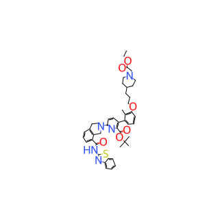 CCOC(=O)CN1CCC(CCCOc2cccc(-c3ccc(N4CCc5cccc(C(=O)Nc6nc7ccccc7s6)c5C4)nc3C(=O)OC(C)(C)C)c2C)CC1